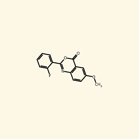 COc1ccc2nc(-c3ccccc3F)oc(=O)c2c1